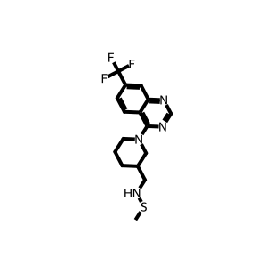 CSNCC1CCCN(c2ncnc3cc(C(F)(F)F)ccc23)C1